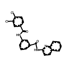 O=C(Nc1cccc(C(=O)Nc2ccc3ccccc3n2)c1)c1ccc(Cl)c(Cl)c1